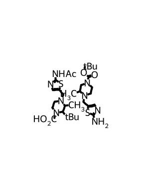 CC(=O)Nc1ncc(CN2CCN(C(=O)O)C(C(C)(C)C)C2C)s1.CC1CN(C(=O)OC(C)(C)C)CCN1Cc1cnc(N)s1